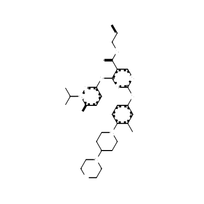 C=CCNC(=O)c1cnc(Nc2ccc(N3CCC(N4CCOCC4)CC3)c(C)c2)nc1Nc1ccc(=O)n(C(C)C)n1